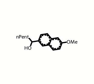 CCCCCC(O)c1ccc2cc(OC)ccc2c1